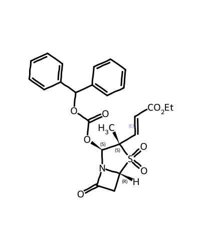 CCOC(=O)/C=C/[C@@]1(C)[C@H](OC(=O)OC(c2ccccc2)c2ccccc2)N2C(=O)C[C@H]2S1(=O)=O